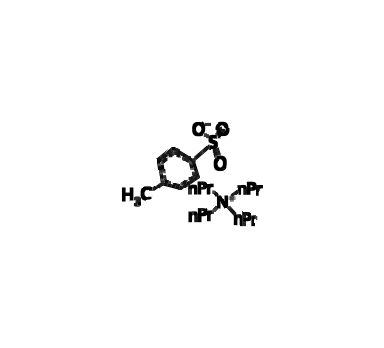 CCC[N+](CCC)(CCC)CCC.Cc1ccc(S(=O)(=O)[O-])cc1